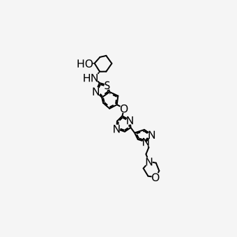 O[C@@H]1CCCC[C@H]1Nc1nc2ccc(Oc3cncc(-c4cnn(CCN5CCOCC5)c4)n3)cc2s1